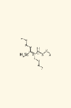 CCCCC([SiH3])=C(CCCC)NCCC